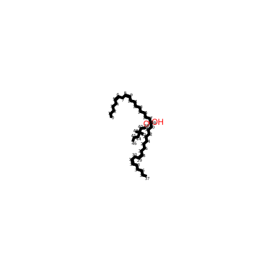 CCCCC/C=C\C/C=C\CCCCCCCCC(O)(CCCCCCCC/C=C\C/C=C\CCCCC)OCCC(C)(C)CCC